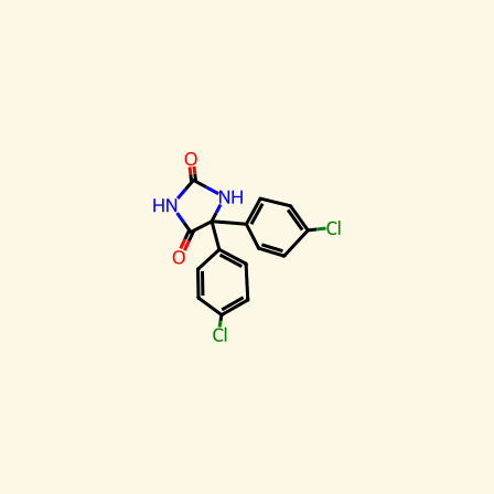 O=C1NC(=O)C(c2ccc(Cl)cc2)(c2ccc(Cl)cc2)N1